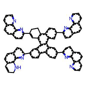 C1=Cc2ccc3ccc(-c4ccc5c6ccc(-c7ccc8ccc9cccnc9c8n7)cc6c6c7cc(-c8ccc9ccc%10cccnc%10c9n8)ccc7c7c(c6c5c4)C=C(c4ccc5ccc6cccnc6c5n4)CC7)nc3c2NC1